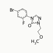 COCCn1ncn(-c2ccc(Br)cc2F)c1=O